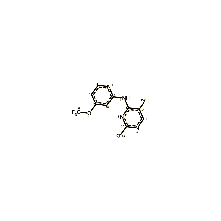 FC(F)(F)Oc1ccnc(Nc2nc(Cl)ncc2Cl)c1